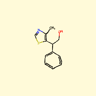 Cc1ncsc1C(CO)c1ccccc1